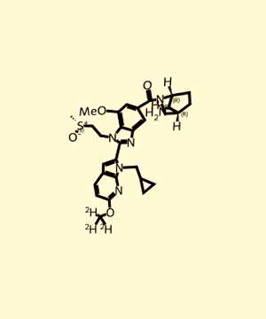 [2H]C([2H])([2H])Oc1ccc2cc(-c3nc4cc(C(=O)N5C[C@H]6CC[C@@H]5[C@@H]6N)cc(OC)c4n3CC[S@@+](C)[O-])n(CC3CC3)c2n1